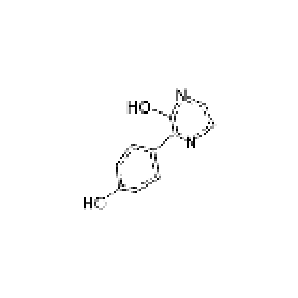 Oc1ccc(-c2nccnc2O)cc1